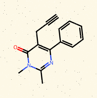 C#CCc1c(-c2ccccc2)nc(C)n(C)c1=O